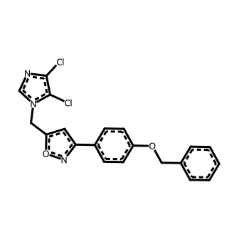 Clc1ncn(Cc2cc(-c3ccc(OCc4ccccc4)cc3)no2)c1Cl